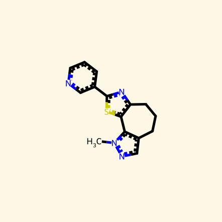 Cn1ncc2c1-c1sc(-c3cccnc3)nc1CCC2